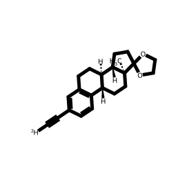 [2H]C#Cc1ccc2c(c1)CC[C@@H]1[C@@H]2CC[C@@]2(C)[C@H]1CCC21OCCO1